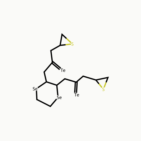 [Te]=C(CC1CS1)CC1[Se]CC[Se]C1CC(=[Te])CC1CS1